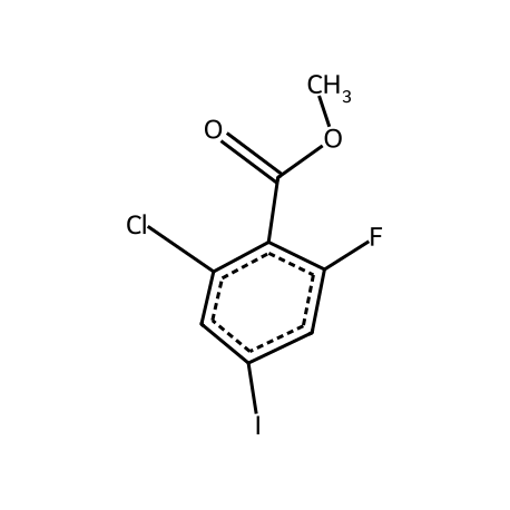 COC(=O)c1c(F)cc(I)cc1Cl